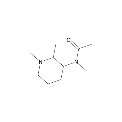 CC(=O)N(C)C1CCCN(C)C1C